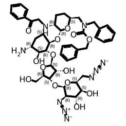 C[C@H]1C[C@@H](N)[C@H](O)[C@@H](O[C@@H]2O[C@H](CO)[C@@H](O[C@H]3O[C@@H](CN=[N+]=[N-])[C@@H](O)[C@H](O)[C@H]3N=[N+]=[N-])[C@H]2O)[C@@H]1O[C@H]1O[C@H](CN(Cc2ccccc2)C(=O)OCc2ccccc2)CC[C@H]1NCC(=O)c1ccccc1